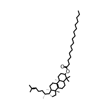 CCCCCCCCCCCCCCCCC(=O)OC1CC[C@]2(C)C3=C(CCC2C1(C)C)[C@]1(C)CC[C@H]([C@H](C)CCC=C(C)C)[C@@]1(C)CC3